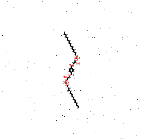 CCCCCCCCCCCCCCCCOS(=O)(=O)OCC(O)COC(=O)c1ccc(C(=O)OCC(O)COS(=O)(=O)OCCCCCCCCCCCCCCCC)cc1